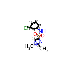 Cc1nc(S(=O)(=O)Nc2cccc(Cl)c2)cn1C